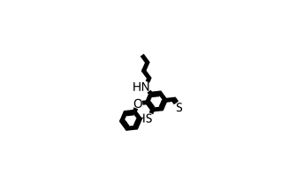 CCCCNc1cc(C=S)cc(S)c1Oc1ccccc1